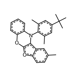 Cc1ccc2oc3c(c2c1)N(c1c(C)cc(C(C)(C)C)cc1C)c1ccccc1O3